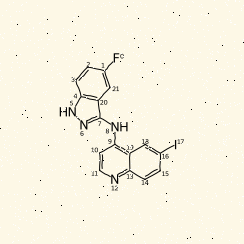 Fc1ccc2[nH]nc(Nc3ccnc4ccc(I)cc34)c2c1